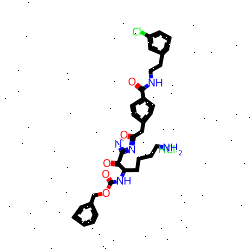 Cl.NCCCCC(NC(=O)OCc1ccccc1)C(=O)c1noc(Cc2ccc(C(=O)NCCc3cccc(Cl)c3)cc2)n1